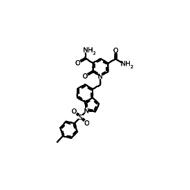 Cc1ccc(S(=O)(=O)n2ccc3c(Cn4cc(C(N)=O)cc(C(N)=O)c4=O)cccc32)cc1